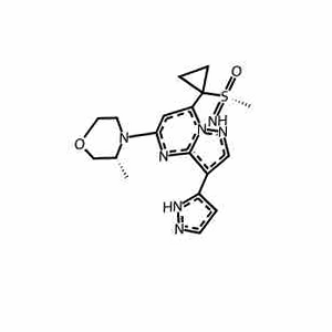 C[C@@H]1COCCN1c1cc(C2([S@](C)(=N)=O)CC2)n2ncc(-c3ccn[nH]3)c2n1